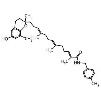 C/C(=C\CC/C(C)=C/CCC1(C)CCc2cc(O)cc(C)c2O1)CC/C=C(\C)C(=O)NCc1ccc(C)cc1